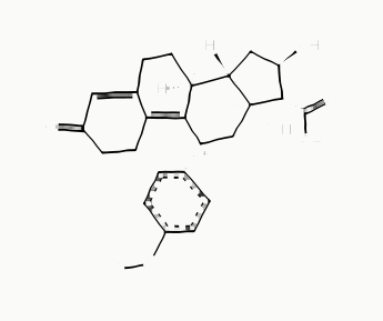 CSc1ccc([C@H]2C[C@@]3(C)[C@@H](C[C@@H](C)[C@@H]3C(C)=O)[C@@H]3CCC4=CC(=O)CCC4=C32)cc1